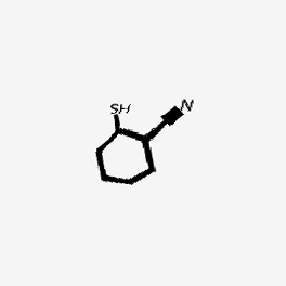 N#CC1CCCCC1S